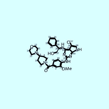 COc1cc(C(=O)N2CCC(N3CCOCC3)CC2)ccc1Nc1nc(N[C@@H](CO)c2ccccc2)c2c(Cl)c[nH]c2n1